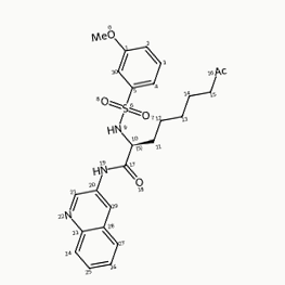 COc1cccc(S(=O)(=O)N[C@@H](CCCCCC(C)=O)C(=O)Nc2cnc3ccccc3c2)c1